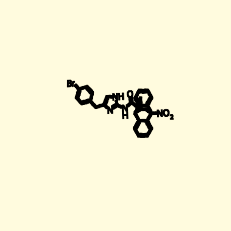 CC1(C(=O)Nc2nc(Cc3ccc(Br)cc3)c[nH]2)CC2([N+](=O)[O-])c3ccccc3C1c1ccccc12